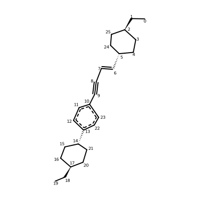 CC[C@H]1CC[C@H](C=CC#Cc2ccc([C@H]3CC[C@H](CC)CC3)cc2)CC1